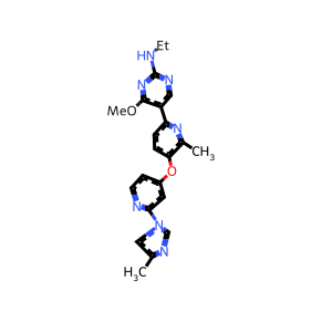 CCNc1ncc(-c2ccc(Oc3ccnc(-n4cnc(C)c4)c3)c(C)n2)c(OC)n1